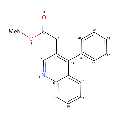 CNOC(=O)Cc1cnc2ccccc2c1-c1ccccc1